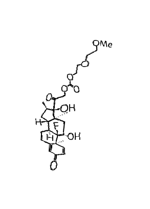 COCCOCCOC(=O)OCC(=O)[C@@]1(O)[C@H](C)C[C@H]2[C@@H]3CCC4=CC(=O)C=C[C@]4(C)[C@@]3(F)[C@@H](O)C[C@@]21C